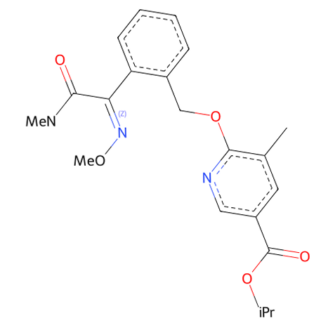 CNC(=O)/C(=N\OC)c1ccccc1COc1ncc(C(=O)OC(C)C)cc1C